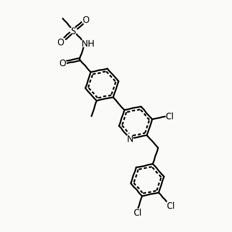 Cc1cc(C(=O)NS(C)(=O)=O)ccc1-c1cnc(Cc2ccc(Cl)c(Cl)c2)c(Cl)c1